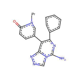 CC(C)n1cc(-c2c(-c3ccccc3)nc(N)n3cnnc23)ccc1=O